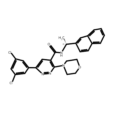 C[C@@H](NC(=O)c1cc(-c2cc(Cl)cc(Cl)c2)nnc1N1CCOCC1)c1ccc2ccccc2c1